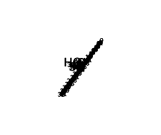 CCCCCCCCCCCCCCCCN(CCCCCCCCCCCCCCCC)C(CCSC)C(=O)O